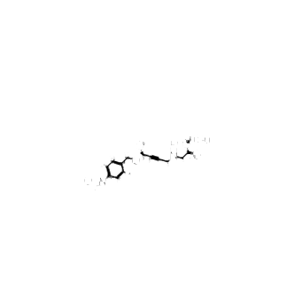 CCCCOC(=O)CNCC#CC(=O)OCc1ccc([N+](=O)[O-])cc1